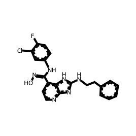 O/N=C(/Nc1ccc(F)c(Cl)c1)c1ccnc2nc(NCCc3ccccc3)[nH]c12